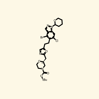 CC(C)(C)OC(=O)N1CCO[C@@H](Cc2ncc(CCc3c(Cl)cc4c(cnn4C4CCCCO4)c3Br)o2)C1